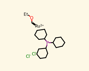 C1CCC(P(C2CCCCC2)C2CCCCC2)CC1.CCO[CH]=[Ru+2].[Cl-].[Cl-]